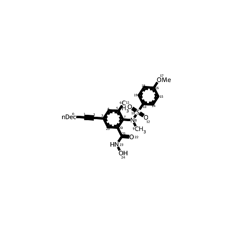 CCCCCCCCCCC#Cc1cc(C)c(N(C)S(=O)(=O)c2ccc(OC)cc2)c(C(=O)NO)c1